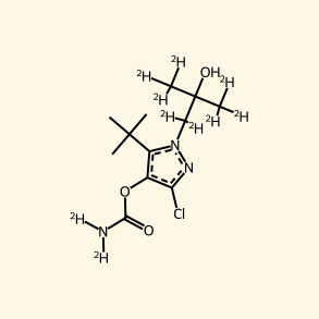 [2H]N([2H])C(=O)Oc1c(Cl)nn(C([2H])([2H])C(O)(C([2H])([2H])[2H])C([2H])([2H])[2H])c1C(C)(C)C